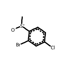 C[S+]([O-])c1ccc(Cl)cc1Br